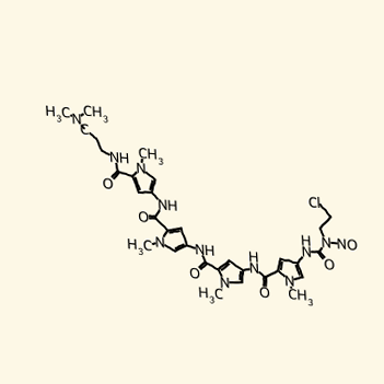 CN(C)CCCNC(=O)c1cc(NC(=O)c2cc(NC(=O)c3cc(NC(=O)c4cc(NC(=O)N(CCCl)N=O)cn4C)cn3C)cn2C)cn1C